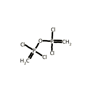 C=P(Cl)(Cl)OP(=C)(Cl)Cl